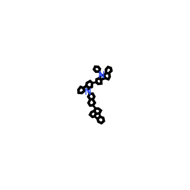 c1ccc(-n2c3cc(-c4ccc5c6ccccc6n(-c6ccc7cc(-c8ccc9c%10c(cccc8%10)-c8ccccc8-9)ccc7c6)c5c4)ccc3c3ccc4ccccc4c32)cc1